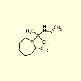 C=NNC(C)(C)N1CCCCC[C@H]1C